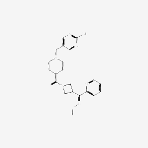 CON=C(c1ccccn1)C1CN(C(=O)C2CCN(Cc3cnc(N)nc3)CC2)C1